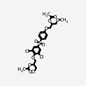 COCC(COc1ccc(S(=O)(=O)c2cc(Cl)c(OCC(CCl)OC(C)=O)c(Cl)c2)cc1)OC(C)=O